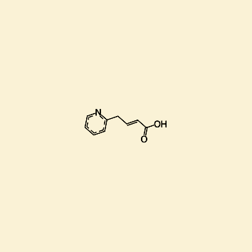 O=C(O)/C=C/Cc1ccccn1